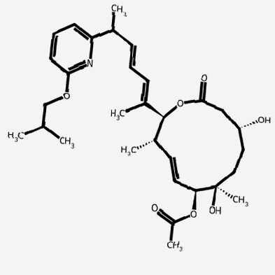 CC(=O)O[C@H]1/C=C/[C@H](C)[C@@H](/C(C)=C/C=C/C(C)c2cccc(OCC(C)C)n2)OC(=O)C[C@H](O)CC[C@@]1(C)O